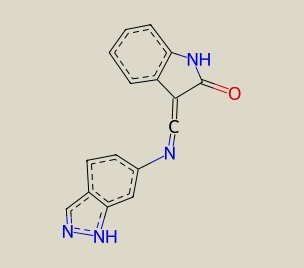 O=C1Nc2ccccc2C1=C=Nc1ccc2cn[nH]c2c1